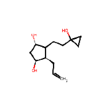 C=CC[C@@H]1C(CCC2(O)CC2)[C@@H](O)C[C@@H]1O